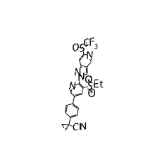 CCS(=O)(=O)c1cc(-c2ccc(C3(C#N)CC3)cc2)cnc1-n1cc2cnc([S+]([O-])C(F)(F)F)cc2n1